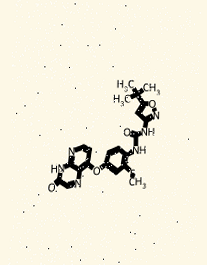 CSc1cc(Oc2ccnc3[nH]c(=O)cnc23)ccc1NC(=O)Nc1cc(C(C)(C)C)on1